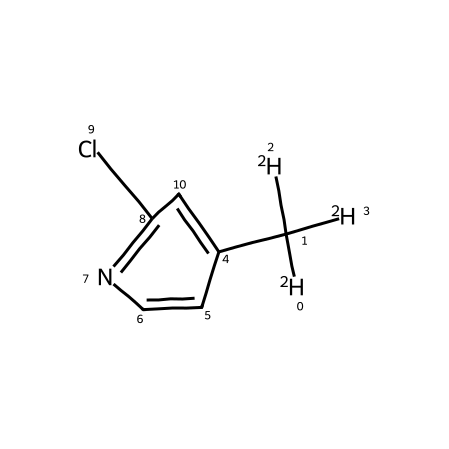 [2H]C([2H])([2H])c1ccnc(Cl)c1